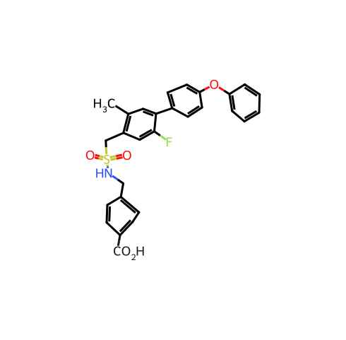 Cc1cc(-c2ccc(Oc3ccccc3)cc2)c(F)cc1CS(=O)(=O)NCc1ccc(C(=O)O)cc1